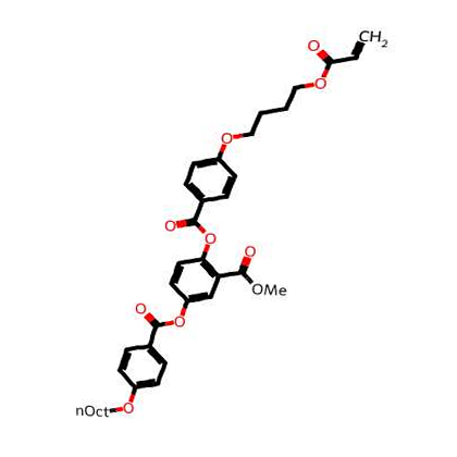 C=CC(=O)OCCCCOc1ccc(C(=O)Oc2ccc(OC(=O)c3ccc(OCCCCCCCC)cc3)cc2C(=O)OC)cc1